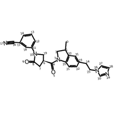 CC1CN(C(=O)[C@H]2CC(=O)N(c3cccc(C#N)c3)C2)c2ccc(CCn3ccnc3)cc21